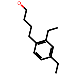 CCc1ccc(CCCC[O])c(CC)c1